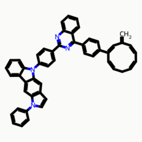 C=C1/C=C\C=C/C/C=C\C(c2ccc(-c3nc(-c4ccc(-n5c6ccccc6c6cc7c(ccn7-c7ccccc7)cc65)cc4)nc4ccccc34)cc2)=C/1